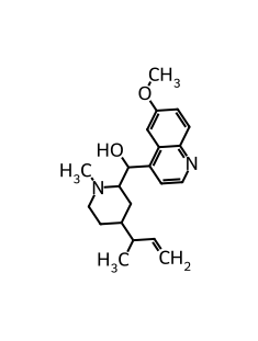 C=CC(C)C1CCN(C)C(C(O)c2ccnc3ccc(OC)cc23)C1